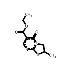 CCOC(=O)c1cnc2n(c1=O)CC(C)S2